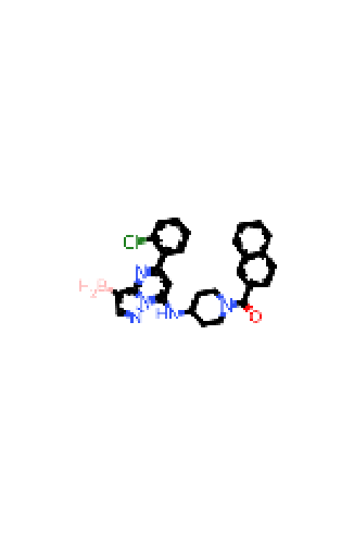 Bc1cnn2c(NC3CCN(C(=O)c4ccc5ccccc5c4)CC3)cc(-c3ccccc3Cl)nc12